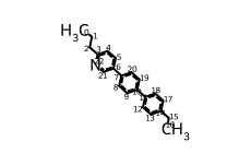 CCCc1ccc(-c2ccc(-c3ccc(CC)cc3)cc2)cn1